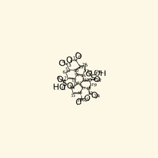 O=C1OC(=O)c2cc(S(=O)(=O)O)c3c4ccc5c6c(cc(S(=O)(=O)O)c(c7ccc1c2c73)c64)C(=O)OC5=O